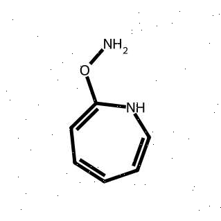 NOC1=CC=CC=CN1